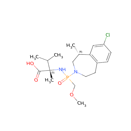 COCP(=O)(N[C@](C)(C(=O)O)C(C)C)N1CCc2ccc(Cl)cc2[C@@H](C)C1